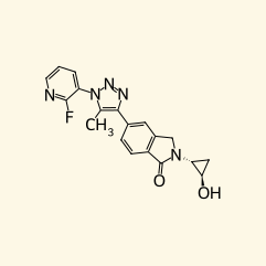 Cc1c(-c2ccc3c(c2)CN([C@@H]2C[C@H]2O)C3=O)nnn1-c1cccnc1F